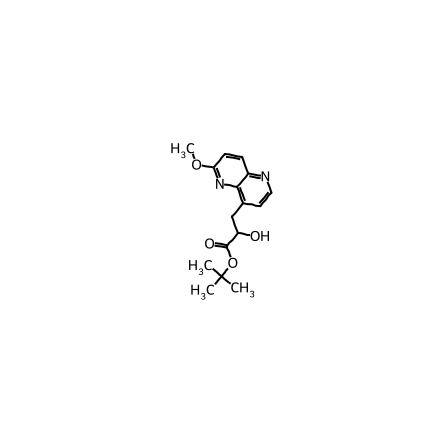 COc1ccc2nccc(CC(O)C(=O)OC(C)(C)C)c2n1